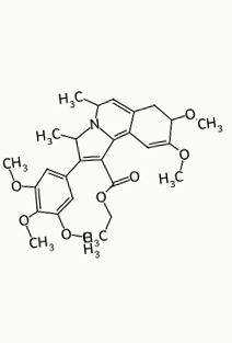 CCOC(=O)C1=C(c2cc(OC)c(OC)c(OC)c2)C(C)N2C1=C1C=C(OC)C(OC)CC1=CC2C